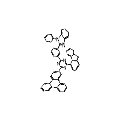 c1ccc(-n2c(-c3cccc(-c4nc(-c5ccc6c7ccccc7c7ccccc7c6c5)nc(-c5cccc6c5-c5ccccc5C6)n4)c3)nc3ccccc32)cc1